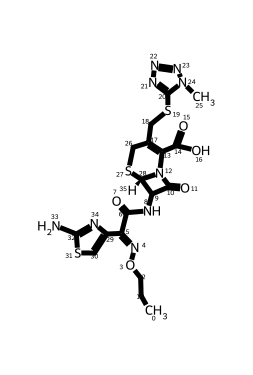 CCCON=C(C(=O)NC1C(=O)N2C(C(=O)O)=C(CSc3nnnn3C)CS[C@@H]12)c1csc(N)n1